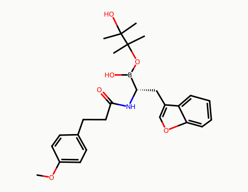 COc1ccc(CCC(=O)N[C@@H](Cc2coc3ccccc23)B(O)OC(C)(C)C(C)(C)O)cc1